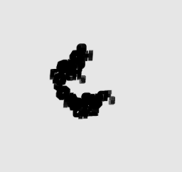 COc1cc2nn([C@H]3CC[C@H](CN4CCC(c5cccc6c5n(C)c(=O)n6C5CCC(=O)NC5=O)C(F)C4)CC3)cc2cc1NC(=O)c1cccc(C(F)(F)F)n1